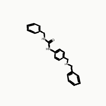 O=C(NCc1ccccc1)Nc1ccc(CNCc2ccccc2)cc1